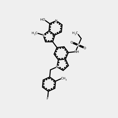 CCS(=O)(=O)Nc1cc(-c2cn(C)c3c(O)nccc23)cc2c1ccn2Cc1ccc(F)cc1C